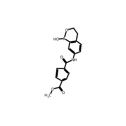 COC(=O)c1ccc(C(=O)Nc2ccc3c(c2)B(O)OCC3)cc1